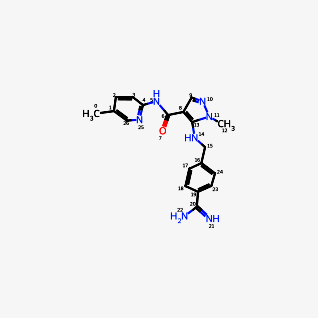 Cc1ccc(NC(=O)c2cnn(C)c2NCc2ccc(C(=N)N)cc2)nc1